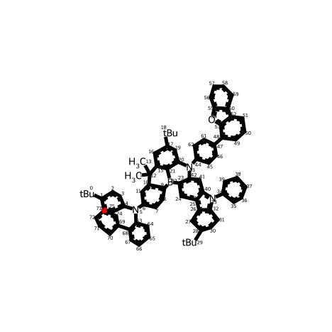 CC(C)(C)c1ccc(N(c2ccc3c(c2)C(C)(C)c2cc(C(C)(C)C)cc4c2B3c2cc3c5cc(C(C)(C)C)ccc5n(-c5ccccc5)c3cc2N4c2ccc(-c3cccc4c3oc3ccccc34)cc2)c2ccccc2-c2ccccc2)cc1